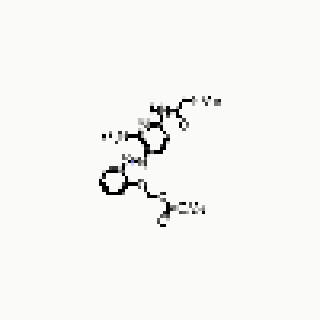 CNCC(=O)Nc1ccc(/N=N/c2ccccc2OCOC(=O)OC)c(N)n1